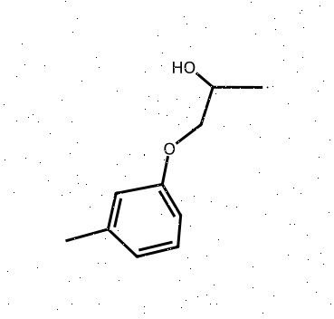 [CH2]C(O)COc1cccc(C)c1